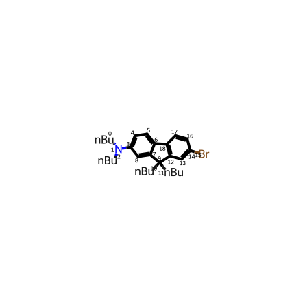 CCCCN(CCCC)c1ccc2c(c1)C(CCCC)(CCCC)c1cc(Br)ccc1-2